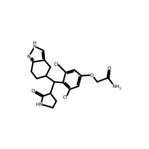 NC(=O)COc1cc(Cl)c(C(C2CCc3n[nH]cc3C2)C2CCNC2=O)c(Cl)c1